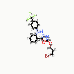 FC(F)(F)c1ccc(Nc2ccccc2-c2nnc(OC/C=C\Br)o2)cc1